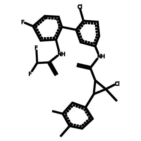 C=C(Nc1cc(F)ccc1-c1cc(NC(=C)C2C(c3ccc(C)c(C)c3)C2(C)Cl)ccc1Cl)C(F)F